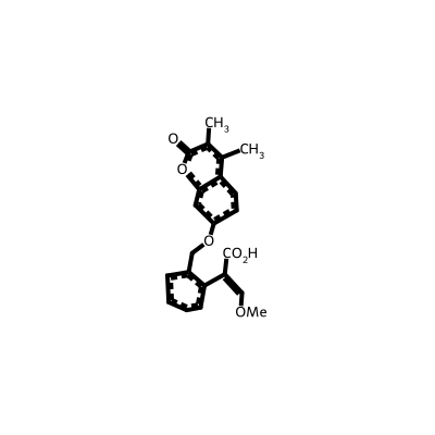 CO/C=C(/C(=O)O)c1ccccc1COc1ccc2c(C)c(C)c(=O)oc2c1